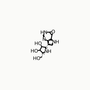 OC[C@H]1N[C@@H](c2c[nH]c3c2N=CNC2OC32)C(O)C1O